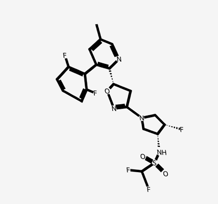 Cc1cnc([C@@H]2CC(N3C[C@H](F)[C@H](NS(=O)(=O)C(F)F)C3)=NO2)c(-c2c(F)cccc2F)c1